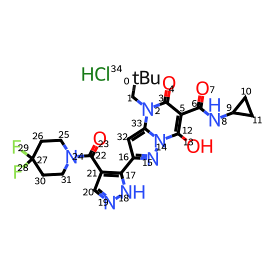 CC(C)(C)Cn1c(=O)c(C(=O)NC2CC2)c(O)n2nc(-c3[nH]ncc3C(=O)N3CCC(F)(F)CC3)cc12.Cl